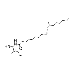 CCCCCCC(C)C/C=C\CCCCCCCC(=O)NC(=N)N(C)CCC